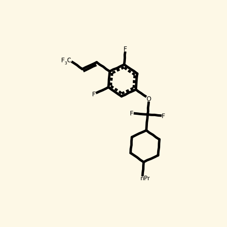 CCCC1CCC(C(F)(F)Oc2cc(F)c(/C=C/C(F)(F)F)c(F)c2)CC1